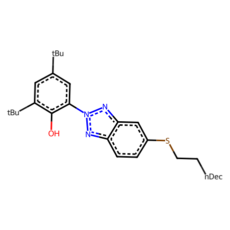 CCCCCCCCCCCCSc1ccc2nn(-c3cc(C(C)(C)C)cc(C(C)(C)C)c3O)nc2c1